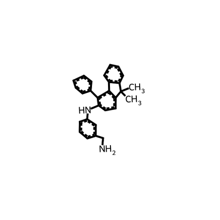 CC1(C)c2ccccc2-c2c1ccc(Nc1cccc(CN)c1)c2-c1ccccc1